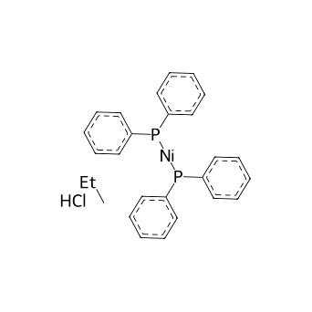 CCC.Cl.c1ccc([P]([Ni][P](c2ccccc2)c2ccccc2)c2ccccc2)cc1